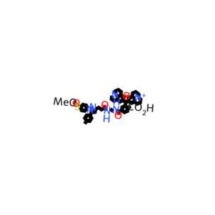 COOSc1ccc(-n2nc(CCC(=O)NCCNC(=O)c3ccc(C(=O)O)c(C4=c5cc6c7c(c5Oc5c4cc4c8c5CCCN8CCC4)CCC[N+]=7CCC6)c3)cc2-c2ccc(C)cc2)cc1